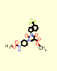 CCOC(=O)c1cn([C@H]2CC[C@H](NC(=O)OC)CC2)c(=O)n([C@@H]2CCc3c2cccc3C(F)(F)F)c1=O